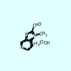 Cl.Cn1c(C=O)nc2cnccc21.O